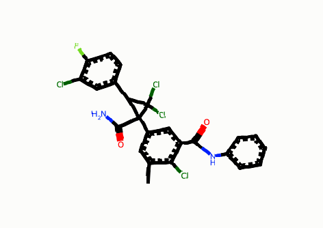 Cc1cc(C2(C(N)=O)C(c3ccc(F)c(Cl)c3)C2(Cl)Cl)cc(C(=O)Nc2ccccc2)c1Cl